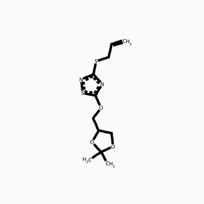 C=CCSc1nsc(OCC2COC(C)(C)O2)n1